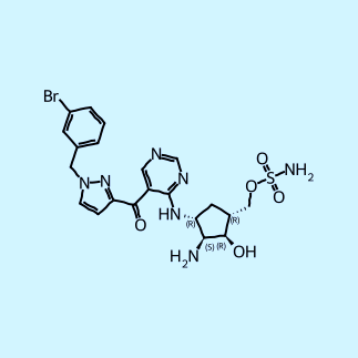 N[C@@H]1[C@H](O)[C@@H](COS(N)(=O)=O)C[C@H]1Nc1ncncc1C(=O)c1ccn(Cc2cccc(Br)c2)n1